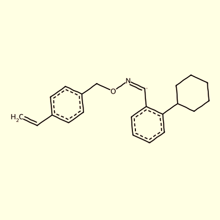 C=Cc1ccc(CO/N=[C]\c2ccccc2C2CCCCC2)cc1